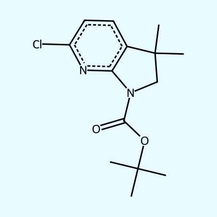 CC(C)(C)OC(=O)N1CC(C)(C)c2ccc(Cl)nc21